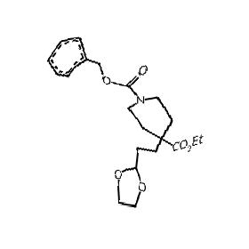 CCOC(=O)C1(CCC2OCCO2)CCN(C(=O)OCc2ccccc2)CC1